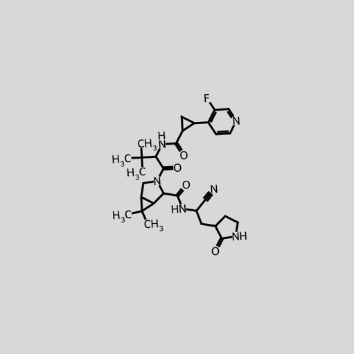 CC(C)(C)C(NC(=O)C1CC1c1ccncc1F)C(=O)N1CC2C(C1C(=O)NC(C#N)CC1CCNC1=O)C2(C)C